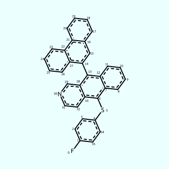 Fc1ccc(Sc2c3ccccc3c(-c3cc4ccccc4c4ccccc34)c3cnccc23)cc1